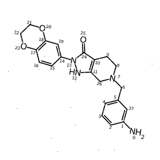 Nc1cccc(CN2CCc3c([nH]n(-c4ccc5c(c4)OCCO5)c3=O)C2)c1